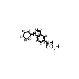 O=C(O)Nc1ccc2c(cnn2C2CCCCO2)c1